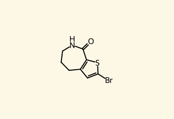 O=C1NCCCc2cc(Br)sc21